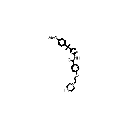 COc1ccc(C(C)(C)c2csc(NC(=O)c3ccc(OCCN4CCNCC4)cc3)n2)cc1